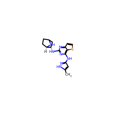 Cc1cc(Nc2nc(N[C@H]3CC4CC[C@H]3N4)nc3ccsc23)n[nH]1